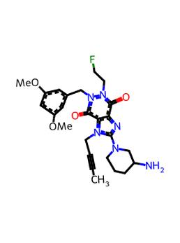 CC#CCn1c(N2CCCC(N)C2)nc2c(=O)n(CCF)n(Cc3cc(OC)cc(OC)c3)c(=O)c21